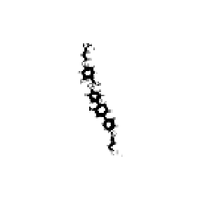 CCCCOc1ccc(-c2ccc(-c3ccc(OC(=O)c4ccc(OCCCC)cc4F)cc3)c(F)c2F)cc1